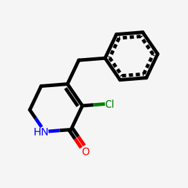 O=C1NCCC(Cc2ccccc2)=C1Cl